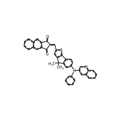 CC1(C)c2cc(N(c3ccccc3)c3cnc4ccccc4c3)ccc2-c2sc(C=C3C(=O)c4cc5ccccc5cc4C3=O)cc21